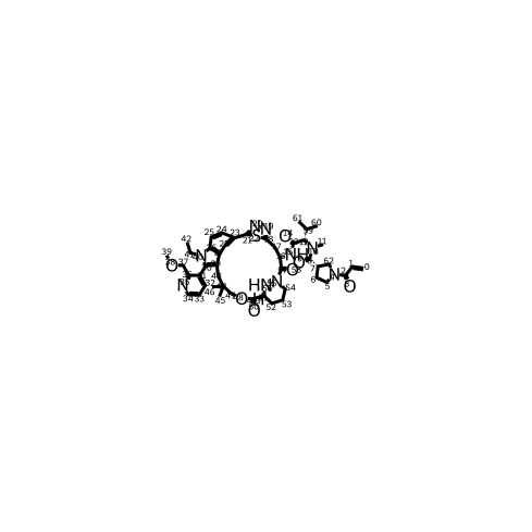 C=CC(=O)N1CC[C@H](C(=O)N(C)[C@H](C(=O)N[C@H]2Cc3nnc(s3)-c3ccc4c(c3)c(c(-c3cccnc3COC)n4CC)CC(C)(C)COC(=O)[C@@H]3CCCN(N3)C2=O)C(C)C)C1